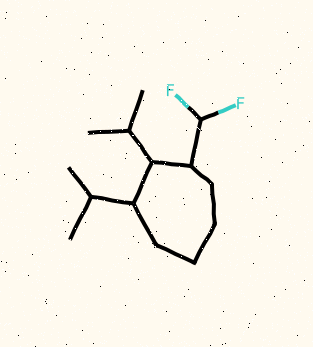 CC(C)C1CCCCC(C(F)F)C1C(C)C